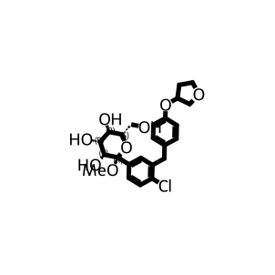 CO[C@]1(c2ccc(Cl)c(Cc3ccc(OC4CCOC4)cc3)c2)O[C@@H](CO)[C@H](O)[C@@H](O)[C@@H]1O